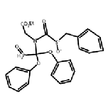 CCOC(=O)CN(C(=O)[S+]([O-])Cc1ccccc1)C(Oc1ccccc1)(Oc1ccccc1)[PH2]=O